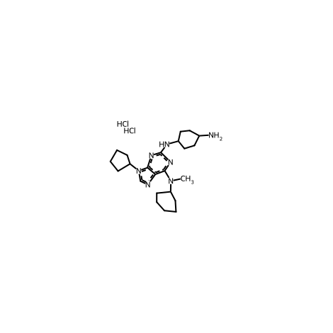 CN(c1nc(NC2CCC(N)CC2)nc2c1ncn2C1CCCC1)C1CCCCC1.Cl.Cl